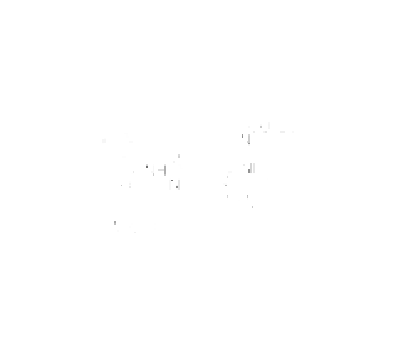 CCOC(=O)N=C(N)C(CCC(=O)N1CCC(OOC(C)=O)CC1NC(=O)c1ccccc1)CNC(=O)OCC